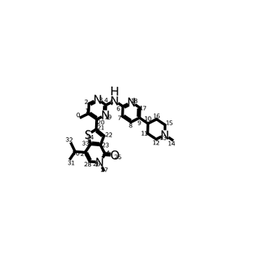 Cc1cnc(Nc2ccc(C3CCN(C)CC3)cn2)nc1-c1cc2c(=O)n(C)cc(C(C)C)c2s1